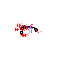 O=C(/C=C/c1ccc(O)cc1)NCC(=O)Oc1cc(O)c2c(=O)c(O)c(-c3ccc(O)c(O)c3)oc2c1